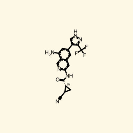 N#CC1C[C@H]1C(=O)Nc1cc2cc(-c3c[nH]nc3C(F)(F)F)cc(N)c2cn1